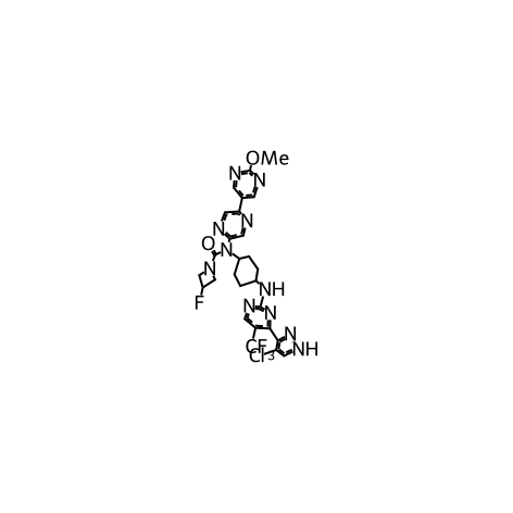 COc1ncc(-c2cnc(N(C(=O)N3CC(F)C3)C3CCC(Nc4ncc(C(F)(F)F)c(-c5n[nH]cc5Cl)n4)CC3)cn2)cn1